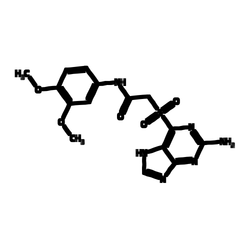 COc1ccc(NC(=O)CS(=O)(=O)c2nc(N)nc3nc[nH]c23)cc1OC